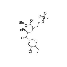 CCCC(CN(CCOS(C)(=O)=O)C(=O)OC(C)(C)C)C(=O)c1ccc(CI)c(Cl)c1